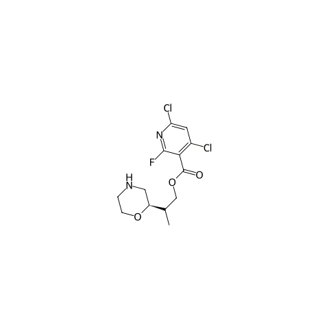 CC(COC(=O)c1c(Cl)cc(Cl)nc1F)[C@@H]1CNCCO1